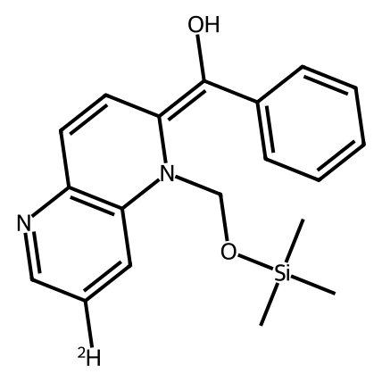 [2H]c1cnc2c(c1)N(CO[Si](C)(C)C)C(=C(O)c1ccccc1)C=C2